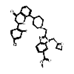 COC(=O)c1ccc2nc(CN3CCC(c4cccc5c4OC(c4ccc(Cl)cc4F)CC5=O)CC3)n(C[C@@H]3CCO3)c2c1